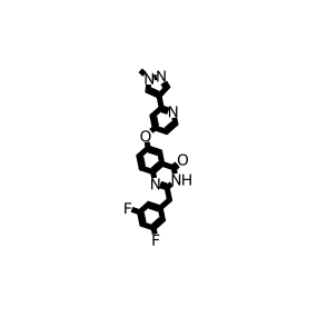 Cn1cc(-c2cc(Oc3ccc4nc(Cc5cc(F)cc(F)c5)[nH]c(=O)c4c3)ccn2)cn1